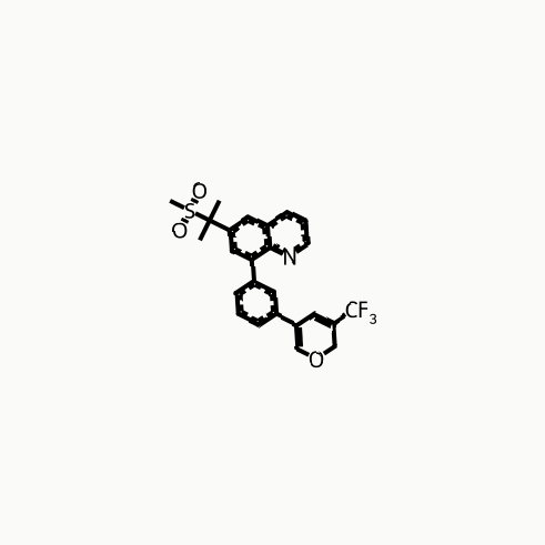 CC(C)(c1cc(-c2cccc(C3=COCC(C(F)(F)F)=C3)c2)c2ncccc2c1)S(C)(=O)=O